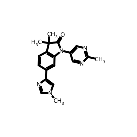 Cc1ncc(N2C(=O)C(C)(C)c3ccc(-c4cn(C)cn4)cc32)cn1